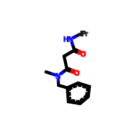 CC(C)NC(=O)CC(=O)N(C)Cc1ccccc1